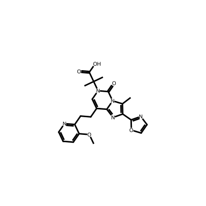 COc1cccnc1CCc1cn(C(C)(C)C(=O)O)c(=O)n2c(C)c(-c3ncco3)nc12